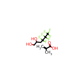 C=C(C)C(=O)O.OCC(O)CC(F)(F)C(F)(F)C(F)(F)F